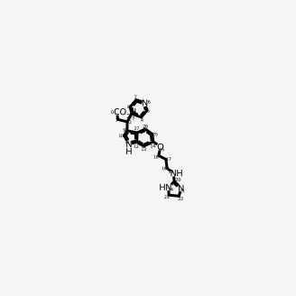 O=C(O)CC(c1ccncc1)c1c[nH]c2cc(OCCCNC3=NCCN3)ccc12